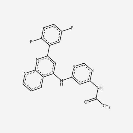 CC(=O)Nc1cc(Nc2cc(-c3cc(F)ccc3F)nc3ncccc23)ncn1